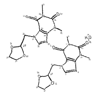 Cn1c(=O)c2c(ncn2CC2OCCO2)n(C)c1=O.Cn1c(=O)c2c(ncn2CC2OCCO2)n(C)c1=O.O